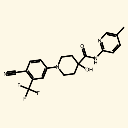 Cc1ccc(NC(=O)C2(O)CCN(c3ccc(C#N)c(C(F)(F)F)c3)CC2)nc1